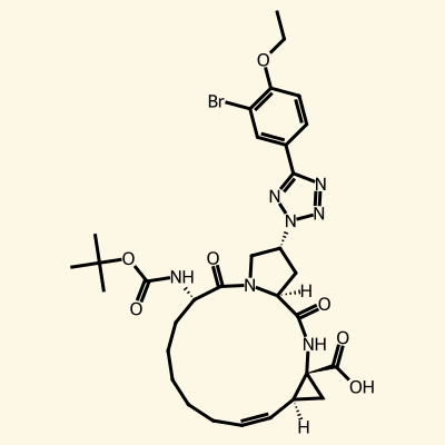 CCOc1ccc(-c2nnn([C@@H]3C[C@H]4C(=O)N[C@]5(C(=O)O)C[C@H]5/C=C\CCCCC[C@H](NC(=O)OC(C)(C)C)C(=O)N4C3)n2)cc1Br